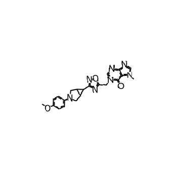 COc1ccc(N2CC3C(C2)C3c2noc(Cn3cnc4ncn(C)c4c3=O)n2)cc1